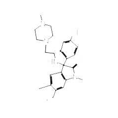 Cc1cc2c(cc1Cl)N(C)C(=O)C2(NC(=O)CN1CCN(C)CC1)c1ccc(Cl)cc1